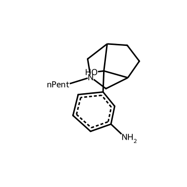 CCCCCN1CC2CCC(C1)C2(O)c1cccc(N)c1